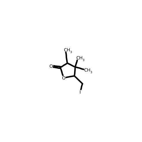 CC1C(=O)OC(CI)C1(C)C